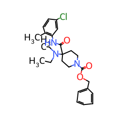 CCN(CC)C1(C(=O)Nc2cc(Cl)ccc2C)CCN(C(=O)OCc2ccccc2)CC1